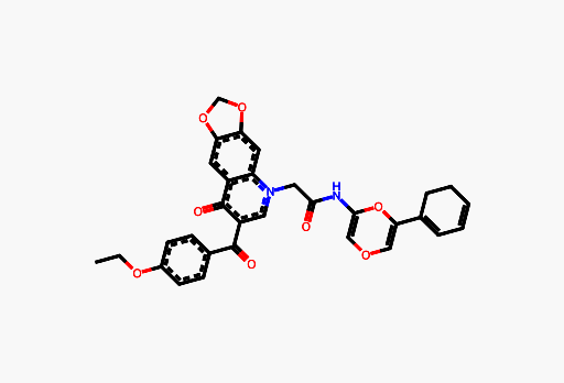 CCOc1ccc(C(=O)c2cn(CC(=O)NC3=COC=C(C4=CC=CCC4)O3)c3cc4c(cc3c2=O)OCO4)cc1